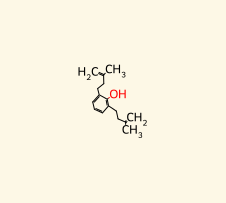 C=C(C)CCc1cccc(CCC(=C)C)c1O